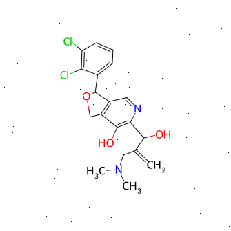 C=C(CN(C)C)C(O)c1ncc2c(c1O)COC2c1cccc(Cl)c1Cl